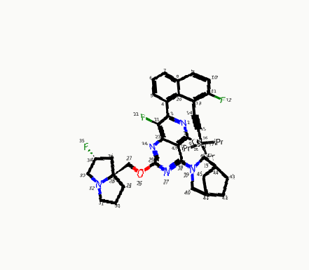 Cc1nc(-c2cccc3ccc(F)c(C#C[Si](C(C)C)(C(C)C)C(C)C)c23)c(F)c2nc(OC[C@@]34CCCN3C[C@H](F)C4)nc(N3CC4CCC(C4)C3)c12